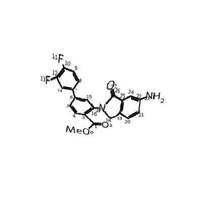 COC(=O)c1ccc(-c2ccc(F)c(F)c2)cc1N1Cc2ccc(N)cc2C1=O